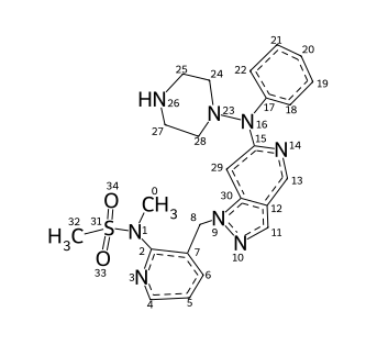 CN(c1ncccc1Cn1ncc2cnc(N(c3ccccc3)N3CCNCC3)cc21)S(C)(=O)=O